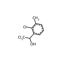 Cc1cccc(C(O)C(Cl)(Cl)Cl)c1Cl